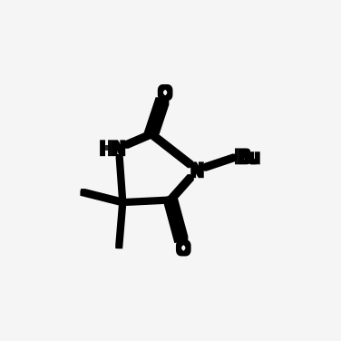 CCC(C)N1C(=O)NC(C)(C)C1=O